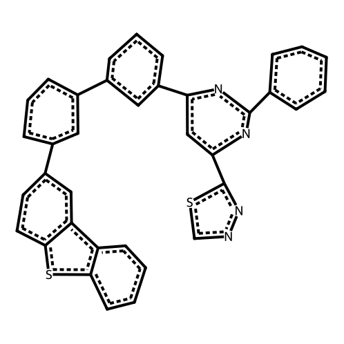 c1ccc(-c2nc(-c3cccc(-c4cccc(-c5ccc6sc7ccccc7c6c5)c4)c3)cc(-c3nncs3)n2)cc1